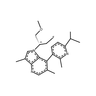 COC[C@H](CF)n1cc(C)c2ncc(C)c(-c3ccc(C(C)C)nc3C)c21